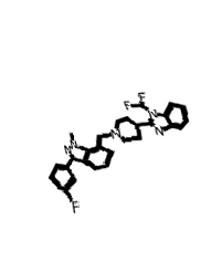 Cn1nc(-c2cccc(F)c2)c2cccc(CN3CCC(c4nc5ccccc5n4C(F)F)CC3)c21